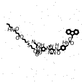 CCCCNC(=O)CCC(=O)OCCCSSCCCOP(=O)(OCCC#N)O[C@@H]1C[C@H](n2cnc3c(NC(=O)c4ccc(CNC(=O)OCC5c6ccccc6-c6ccccc65)cc4)ncnc32)C[C@@H]1CO